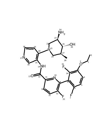 CCOc1ccc(F)c(-c2nc(C(=O)Nc3cnccc3N3C[C@@H](N)[C@H](O)[C@@H](C)C3)ccc2F)c1F